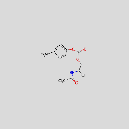 CC(COC(=O)Oc1ccc([N+](=O)[O-])cc1)NC(=O)C(Cl)(Cl)Cl